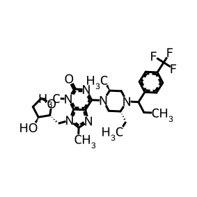 CCC(c1ccc(C(F)(F)F)cc1)N1C[C@H](C)N(c2nc(=O)n(C)c3c2nc(C)n3C[C@H]2OCC[C@@H]2O)C[C@H]1CC